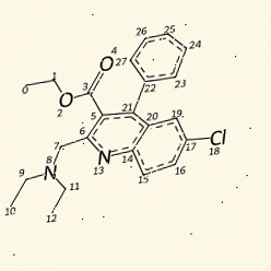 CCOC(=O)c1c(CN(CC)CC)nc2ccc(Cl)cc2c1-c1ccccc1